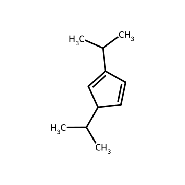 CC(C)C1=CC(C(C)C)C=C1